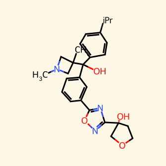 CC(C)c1ccc(C(O)(c2cccc(-c3nc([C@@]4(O)CCOC4)no3)c2)C2(C)CN(C)C2)cc1